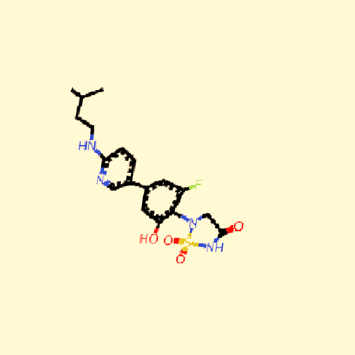 CC(C)CCNc1ccc(-c2cc(O)c(N3CC(=O)NS3(=O)=O)c(F)c2)cn1